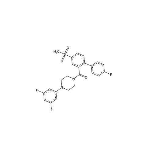 CS(=O)(=O)c1ccc(-c2ccc(F)cc2)c(C(=O)N2CCN(c3cc(F)cc(F)c3)CC2)c1